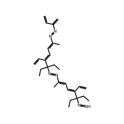 C=CC(=C)N=N/C(C)=C/C=C(\C=C)C(CC)(CC)N=N/C(C)=C/C=C(\C=C)C(CC)(CC)N=N